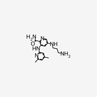 Cc1cc(C)nc(Nc2cc(NCCCN)cnc2C(N)=O)c1